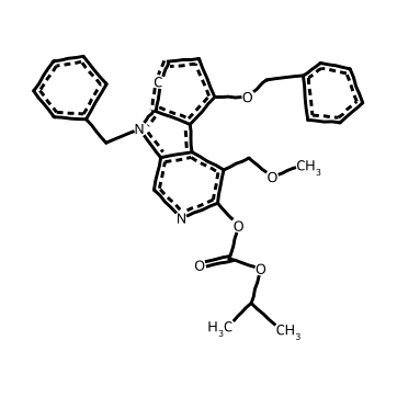 COCc1c(OC(=O)OC(C)C)ncc2c1c1c(OCc3ccccc3)cccc1n2Cc1ccccc1